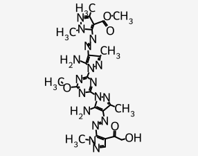 COC(=O)c1c(C)nn(C)c1N=Nc1c(C)nn(-c2nc(OC)nc(-n3nc(C)c(N=Nc4c(C(=O)CO)cnn4C)c3N)n2)c1N